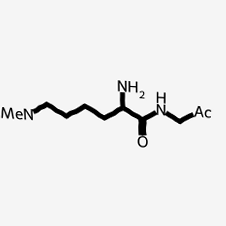 CNCCCCC(N)C(=O)NCC(C)=O